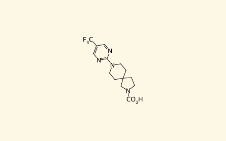 O=C(O)N1CCC2(CCN(c3ncc(C(F)(F)F)cn3)CC2)C1